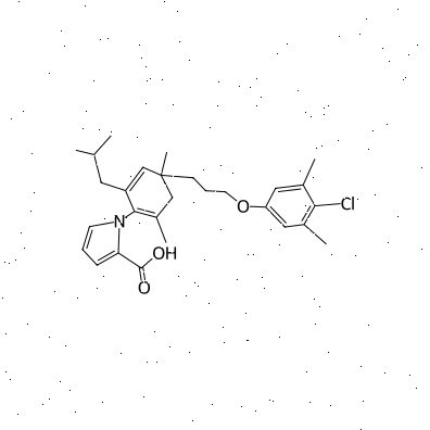 CC1=C(n2cccc2C(=O)O)C(CC(C)C)=CC(C)(CCCOc2cc(C)c(Cl)c(C)c2)C1